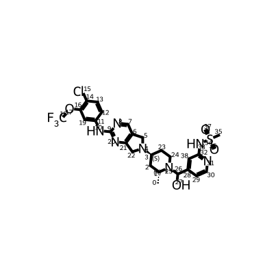 C[C@@H]1C[C@@H](N2Cc3cnc(Nc4ccc(Cl)c(OC(F)(F)F)c4)nc3C2)CCN1C(O)c1ccnc(NS(C)(=O)=O)c1